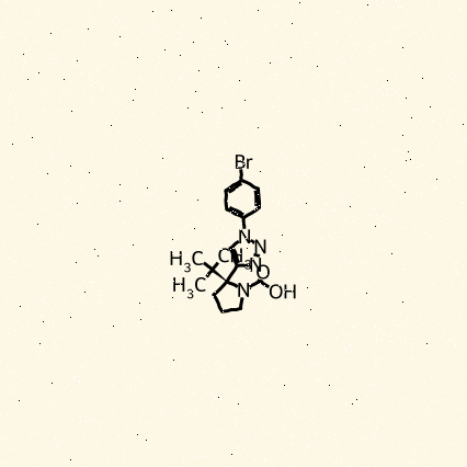 CC(C)(C)[C@]1(c2cn(-c3ccc(Br)cc3)nn2)CCCN1C(=O)O